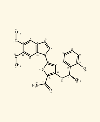 COc1cc2ncn(-c3cc(O[C@H](C)c4ccccc4Cl)c(C(N)=O)s3)c2cc1OC